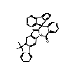 CC1(C)c2ccccc2-c2cc3c(cc21)nc1n3C(=O)c2ccccc2C12c1ccccc1-c1ccccc12